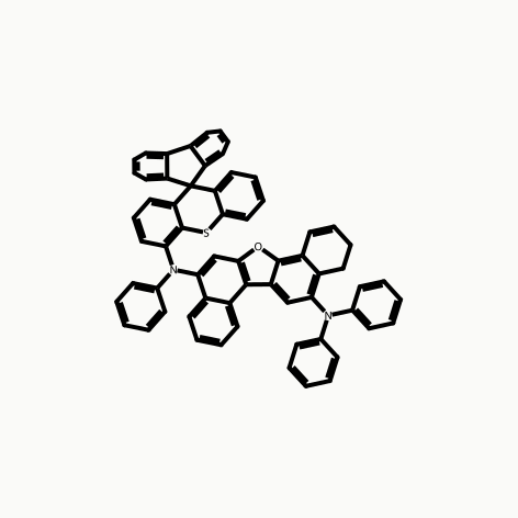 C1=Cc2c(c(N(c3ccccc3)c3ccccc3)cc3c2oc2cc(N(c4ccccc4)c4cccc5c4Sc4ccccc4C54c5ccccc5-c5ccccc54)c4ccccc4c23)CC1